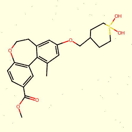 COC(=O)c1ccc2c(c1)-c1c(C)cc(OCC3CCS(O)(O)CC3)cc1CCO2